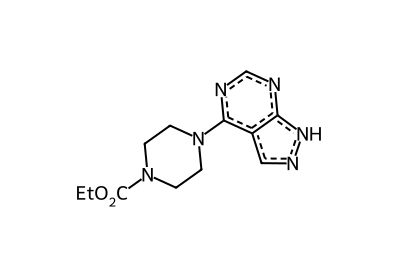 CCOC(=O)N1CCN(c2ncnc3[nH]ncc23)CC1